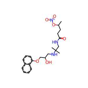 CC(CCC(=O)NCC(C)(C)NCC(O)COc1cccc2ccccc12)O[N+](=O)[O-]